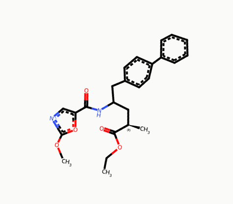 CCOC(=O)[C@H](C)CC(Cc1ccc(-c2ccccc2)cc1)NC(=O)c1cnc(OC)o1